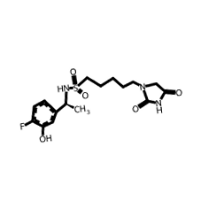 C[C@H](NS(=O)(=O)CCCCCN1CC(=O)NC1=O)c1ccc(F)c(O)c1